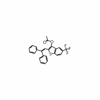 CC(=O)Oc1c(C=C(c2ccccc2)c2ccccc2)sc2ccc(C(F)(F)F)cc12